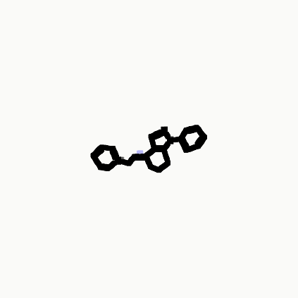 C(/C[n+]1ccccc1)=C1/CCCc2c1cnn2-c1ccccc1